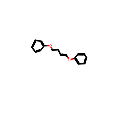 C(=COc1ccccc1)CCOc1ccccc1